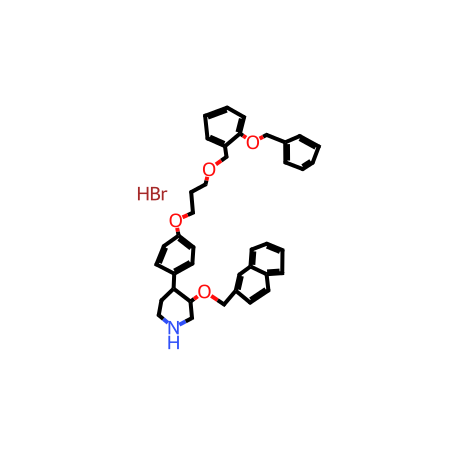 Br.c1ccc(COc2ccccc2COCCCOc2ccc(C3CCNCC3OCc3ccc4ccccc4c3)cc2)cc1